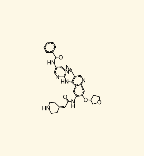 N#Cc1cnc2cc(OC3CCOC3)c(NC(=O)C=C3CCNCC3)cc2c1Nc1ncc(NC(=O)c2ccccc2)cn1